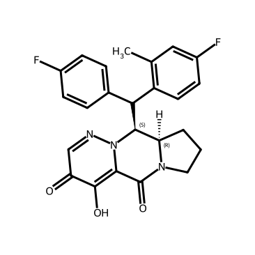 Cc1cc(F)ccc1C(c1ccc(F)cc1)[C@H]1[C@H]2CCCN2C(=O)c2c(O)c(=O)cnn21